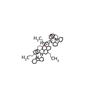 CCCc1ccccc1-n1c2ccccc2c2cccc(N(c3cccc4c3CCCC4)c3cc(CCC)c4ccc5c(N(c6cccc7c6CCCC7)c6cccc7c8ccccc8n(-c8ccccc8CCC)c67)cc(CCC)c6ccc3c4c65)c21